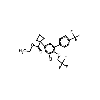 CCOC(=O)C1(c2cc(Cl)c(OCC(F)(F)F)c(-c3ccc(C(F)(F)F)cc3)c2)CCC1